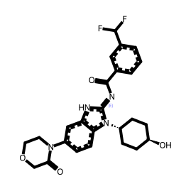 O=C(/N=c1\[nH]c2cc(N3CCOCC3=O)ccc2n1[C@H]1CC[C@H](O)CC1)c1cccc(C(F)F)c1